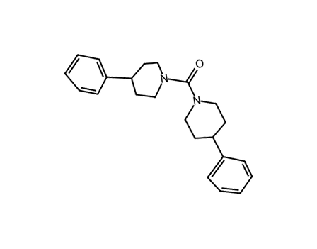 O=C(N1CCC(c2ccccc2)CC1)N1CCC(c2ccccc2)CC1